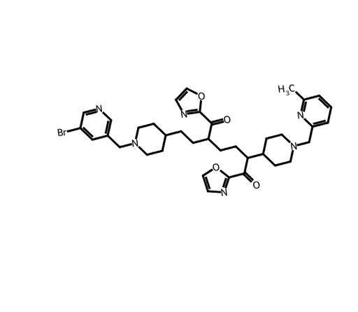 Cc1cccc(CN2CCC(C(CCC(CCC3CCN(Cc4cncc(Br)c4)CC3)C(=O)c3ncco3)C(=O)c3ncco3)CC2)n1